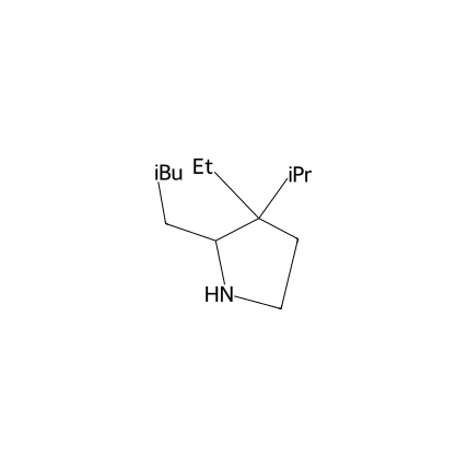 CCC(C)CC1NCCC1(CC)C(C)C